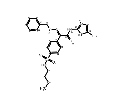 COCCNS(=O)(=O)c1ccc(/C(=N\OCc2ccccn2)C(=O)Nc2ncc(F)s2)cc1